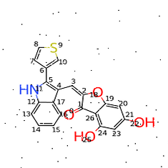 O=C1C(=Cc2c(-c3ccsc3)[nH]c3ccccc23)Oc2cc(O)cc(O)c21